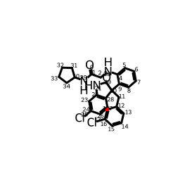 O=C(CNc1ccccc1C1(Cc2cccc(Cl)c2)C(=O)Nc2cc(Cl)ccc21)NC1CCCC1